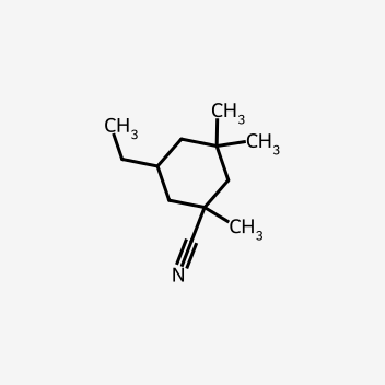 CCC1CC(C)(C)CC(C)(C#N)C1